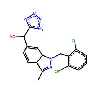 CC1=NN(Cc2c(Cl)cccc2Cl)C2C=C(C(O)c3nnn[nH]3)C=CC12